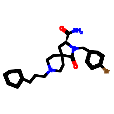 NC(=O)[C@H]1CC2(CCN(CC[CH]c3ccccc3)CC2)C(=O)N1Cc1ccc(Br)cc1